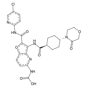 O=C(O)Nc1ccc2oc(C(=O)Nc3ccc(Cl)cn3)c(NC(=O)[C@H]3CC[C@H](N4CCOCC4=O)CC3)c2n1